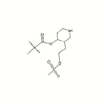 CC(C)(C)C(=O)OC1CCNCC1CCOS(C)(=O)=O